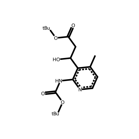 Cc1ccnc(NC(=O)OC(C)(C)C)c1C(O)CC(=O)OC(C)(C)C